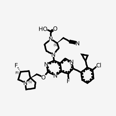 N#CC[C@H]1CN(c2nc(OC[C@@]34CCCN3C[C@H](F)C4)nc3c(F)c(-c4cccc(Cl)c4C4CC4)ncc23)CCN1C(=O)O